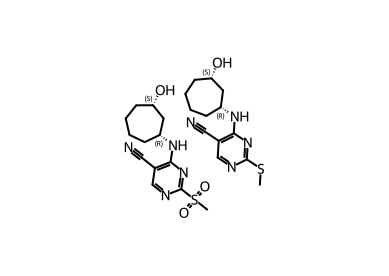 CS(=O)(=O)c1ncc(C#N)c(N[C@@H]2CCCC[C@H](O)C2)n1.CSc1ncc(C#N)c(N[C@@H]2CCCC[C@H](O)C2)n1